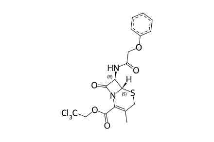 CC1=C(C(=O)OCC(Cl)(Cl)Cl)N2C(=O)[C@@H](NC(=O)COc3ccccc3)[C@@H]2SC1